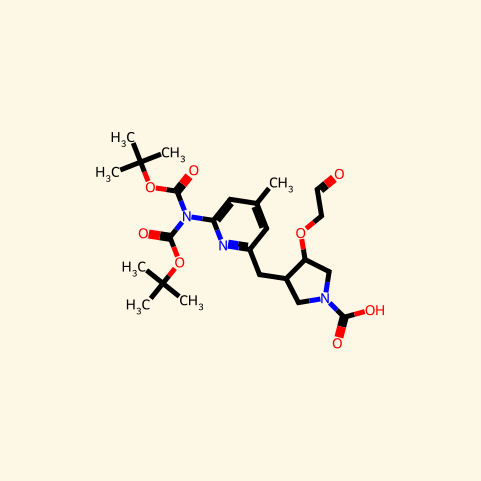 Cc1cc(CC2CN(C(=O)O)CC2OCC=O)nc(N(C(=O)OC(C)(C)C)C(=O)OC(C)(C)C)c1